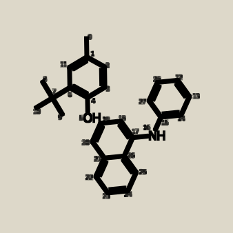 Cc1ccc(O)c(C(C)(C)C)c1.c1ccc(Nc2cccc3ccccc23)cc1